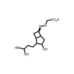 CCCCC(O)CCC1C(O)CC2C(=NOCC(=O)O)CC21